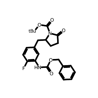 CC(C)(C)OC(=O)N1C(=O)CCC1Cc1ccc(F)c(NC(=O)OCc2ccccc2)c1